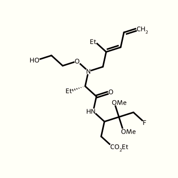 C=C/C=C(\CC)CN(OCCO)[C@@H](CC)C(=O)NC(CC(=O)OCC)C(CF)(OC)OC